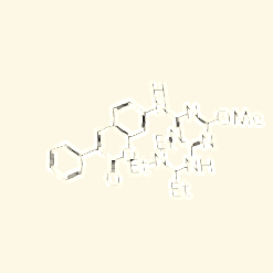 CCC(Nc1nc(Nc2ccc3cc(-c4ccccc4)c(=O)oc3c2)nc(OC)n1)N(CC)CC